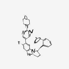 COc1ccccc1[C@H]1CCc2nc3cc(F)c(-c4cnc(N5CCOCC5)nc4)cc3n21